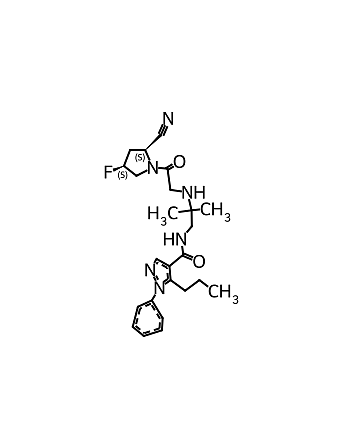 CCCc1c(C(=O)NCC(C)(C)NCC(=O)N2C[C@@H](F)C[C@H]2C#N)cnn1-c1ccccc1